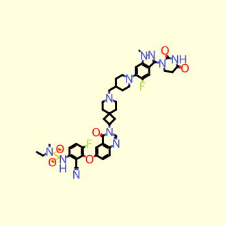 CCN(C)S(=O)(=O)Nc1ccc(F)c(Oc2ccc3ncn(C4CC5(CCN(CC6CCN(c7cc8c(cc7F)c(N7CCC(=O)NC7=O)nn8C)CC6)CC5)C4)c(=O)c3c2)c1C#N